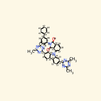 Cc1nc(C)nc(-c2ccc3c4ccc(-c5nc(C)nc(C)n5)cc4n(-c4cccc5c4C(=O)N(c4cccc(-c6ccccc6)c4)C5=O)c3c2)n1